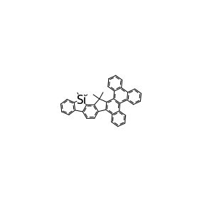 CC1(C)c2c(ccc3c2[Si](C)(C)c2ccccc2-3)-c2c1c1c3ccccc3c3ccccc3c1c1ccccc21